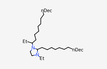 CCCCCCCCCCCCCCCCCC(CC)N1CCN(CC)C1CCCCCCCCCCCCCCCCC